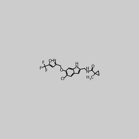 CC1(C(=O)NCc2cc3cc(Cl)c(OCc4cc(C(F)(F)F)on4)cc3[nH]2)CC1